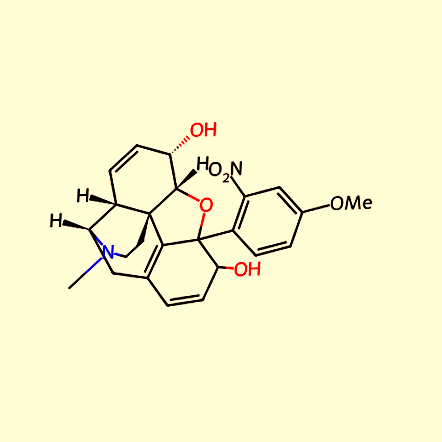 COc1ccc(C23O[C@H]4[C@@H](O)C=C[C@H]5[C@H]6CC(=C2[C@]54CCN6C)C=CC3O)c([N+](=O)[O-])c1